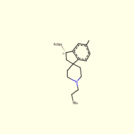 CC(=O)N[C@H]1CC2(CCN(CCC(C)(C)C)CC2)c2ccc(C)cc21